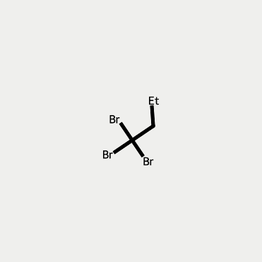 CCCC(Br)(Br)Br